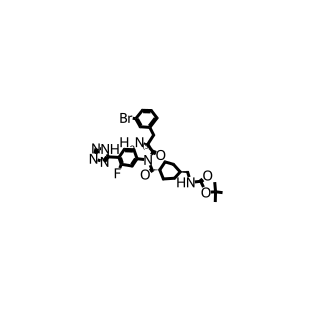 CC(C)(C)OC(=O)NC[C@H]1CC[C@H](C(=O)N(C(=O)[C@@H](N)Cc2cccc(Br)c2)c2ccc(-c3nnn[nH]3)c(F)c2)CC1